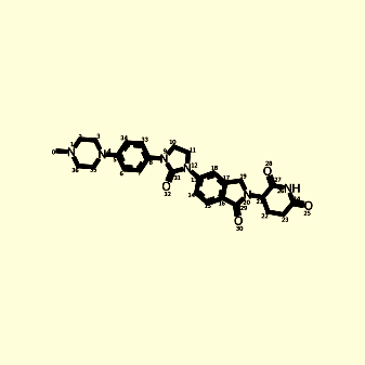 CN1CCN(c2ccc(N3CCN(c4ccc5c(c4)CN(C4CCC(=O)NC4=O)C5=O)C3=O)cc2)CC1